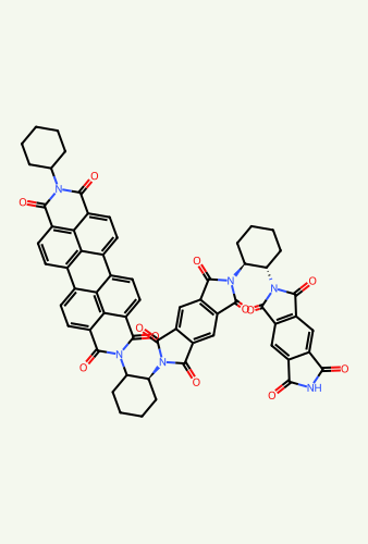 O=C1c2ccc3c4ccc5c6c(ccc(c7ccc(c2c37)C(=O)N1C1CCCCC1)c64)C(=O)N(C1CCCC[C@@H]1n1c(=O)c2cc3c(=O)n([C@H]4CCCC[C@@H]4n4c(=O)c6cc7c(=O)[nH]c(=O)c7cc6c4=O)c(=O)c3cc2c1=O)C5=O